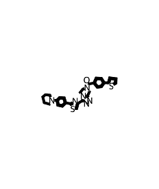 O=C(c1ccc(-c2cccs2)cc1)N1CCn2c(nnc2-c2csc(-c3ccc(N4CCCCC4)cc3)n2)C1